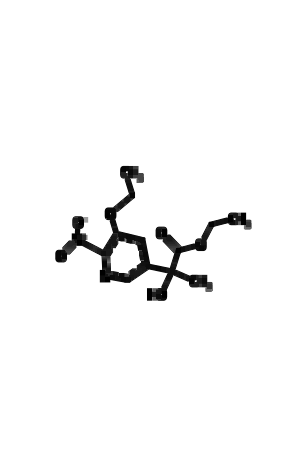 CCOC(=O)C(C)(O)c1cnc([N+](=O)[O-])c(OCC)c1